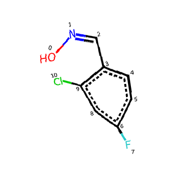 O/N=C\c1ccc(F)cc1Cl